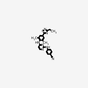 CCc1noc(-c2cc(C)c(Nc3ccnc(Nc4ccc(C#N)cc4)n3)c(C)c2)n1